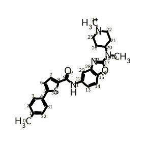 Cc1ccc(-c2ccc(C(=O)Nc3ccc4oc(N(C)C5CCN(C)CC5)nc4c3)s2)cc1